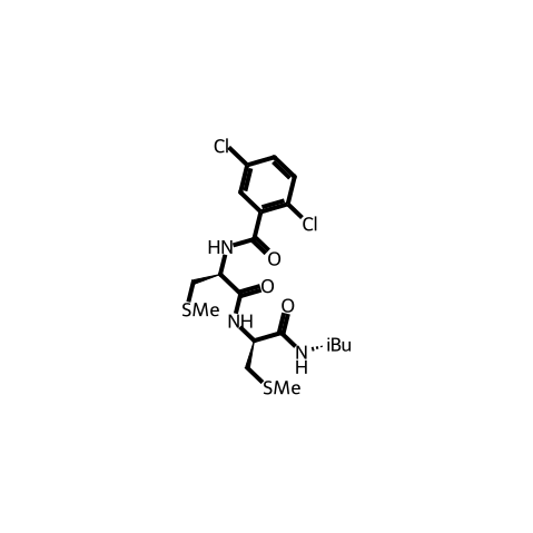 CC[C@@H](C)NC(=O)[C@@H](CSC)NC(=O)[C@@H](CSC)NC(=O)c1cc(Cl)ccc1Cl